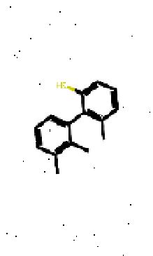 Cc1cccc(-c2c(C)cccc2S)c1C